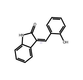 O=C1Nc2ccccc2/C1=C/c1ccccc1O